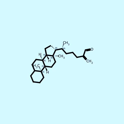 C=C(C=O)CCC[C@@H](C)[C@H]1CC[C@H]2[C@@H]3CCC4CCCC[C@]4(C)[C@H]3CC[C@]12C